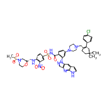 CC1(C)CCC(CN2CCN(c3ccc(C(=O)NS(=O)(=O)c4ccc(NC[C@H]5CN(S(C)(=O)=O)CCO5)c([N+](=O)[O-])c4)c(-n4ncc5nc6[nH]ccc6cc54)c3)CC2)=C(c2ccc(Cl)cc2)C1